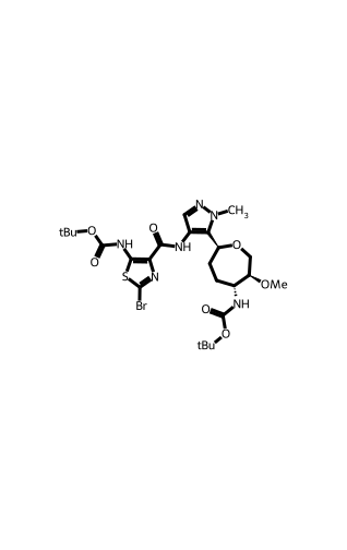 CO[C@@H]1CO[C@H](c2c(NC(=O)c3nc(Br)sc3NC(=O)OC(C)(C)C)cnn2C)CC[C@H]1NC(=O)OC(C)(C)C